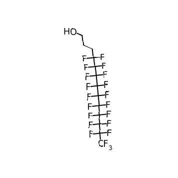 OCCCC(F)(F)C(F)(F)C(F)(F)C(F)(F)C(F)(F)C(F)(F)C(F)(F)C(F)(F)C(F)(F)C(F)(F)F